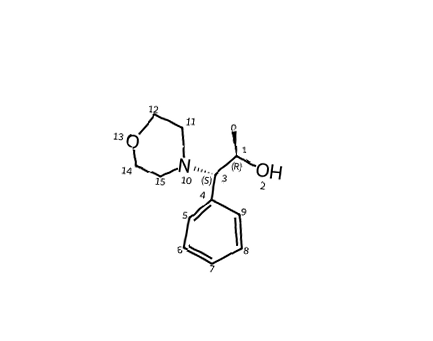 C[C@@H](O)[C@H](c1ccccc1)N1CCOCC1